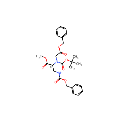 COC(=O)[C@H](CNC(=O)OCc1ccccc1)N(CC(=O)OCc1ccccc1)C(=O)OC(C)(C)C